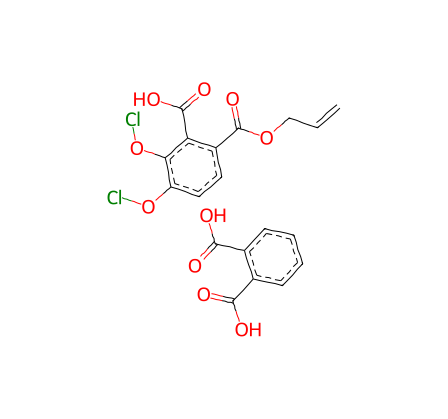 C=CCOC(=O)c1ccc(OCl)c(OCl)c1C(=O)O.O=C(O)c1ccccc1C(=O)O